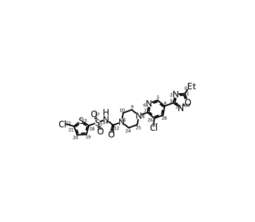 CCc1nc(-c2cnc(N3CCN(C(=O)NS(=O)(=O)c4ccc(Cl)s4)CC3)c(Cl)c2)no1